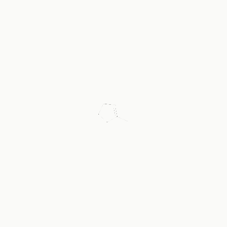 IC1=NCCC1